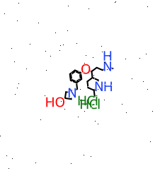 CNCCC(Oc1cccc(CN2CC(O)C2)c1)C1CCC(C)NC1.Cl.Cl